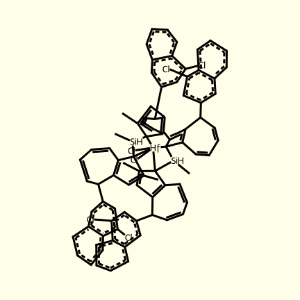 CC1=CC2=C(C=CC=CC2c2cc(Cl)c3ccccc3c2)[C]12[SiH](C)[C]1(C(C)=CC3=C1C=CC=CC3c1cc(Cl)c3ccccc3c1)[Hf]21([Cl])([Cl])[C]2(C(C)=CC3=C2C=CC=CC3c2cc(Cl)c3ccccc3c2)[SiH](C)[C]12C(C)=CC1=C2C=CC=CC1c1cc(Cl)c2ccccc2c1